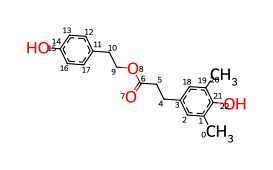 Cc1cc(CCC(=O)OCCc2ccc(O)cc2)cc(C)c1O